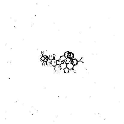 COc1c(CN2O[C@@H](CO)[C@@H]([C@H](C)O)[C@H]2C(=O)N[C@H]2C[C@H]3C[C@@H]([C@@H]2C)C3(C)C)cccc1-c1cc(C(=O)N2CCCC2C(=O)Nc2ccccc2)cc(N(C)C)c1